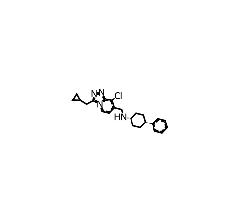 Clc1c(CN[C@H]2CC[C@H](c3ccccc3)CC2)ccn2c(CC3CC3)nnc12